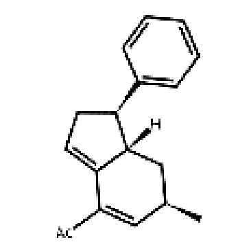 CC(=O)C1=C[C@H](C)C[C@@H]2C1=CC[C@H]2c1ccccc1